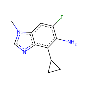 Cn1cnc2c(C3CC3)c(N)c(F)cc21